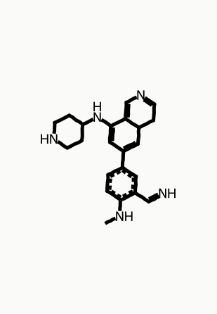 CNc1ccc(C2=CC3CC=NC=C3C(NC3CCNCC3)=C2)cc1C=N